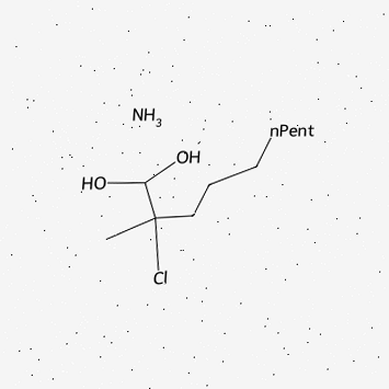 CCCCCCCCC(C)(Cl)C(O)O.N